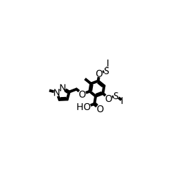 Cc1c(OSI)cc(OSI)c(C(=O)O)c1OCc1ccn(C)n1